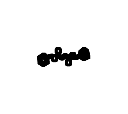 O=C(CCC(=O)OCc1ccccc1)OCc1ccccc1